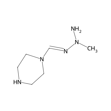 CN(N)N=CN1CCNCC1